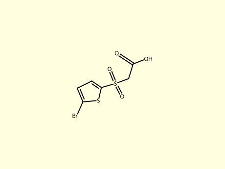 O=C(O)CS(=O)(=O)c1ccc(Br)s1